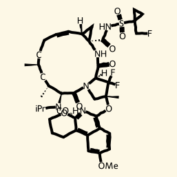 COc1ccc2c(O[C@]3(C)CN4C(=O)[C@@H](N(C(=O)O)C(C)C)[C@H](C)C[C@@H](C)CC/C=C\[C@@H]5C[C@@]5(C(=O)NS(=O)(=O)C5(CF)CC5)NC(=O)[C@H]4C3(F)F)nc3c(c2c1)CCCO3